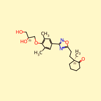 Cc1cc(-c2noc(CC[C@]3(C)CCCCC3=O)n2)cc(C)c1OC[C@@H](O)CO